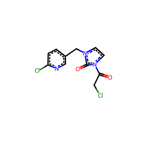 O=C(CCl)n1ccn(Cc2ccc(Cl)nc2)c1=O